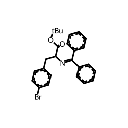 CC(C)(C)OC(=O)C(Cc1ccc(Br)cc1)N=C(c1ccccc1)c1ccccc1